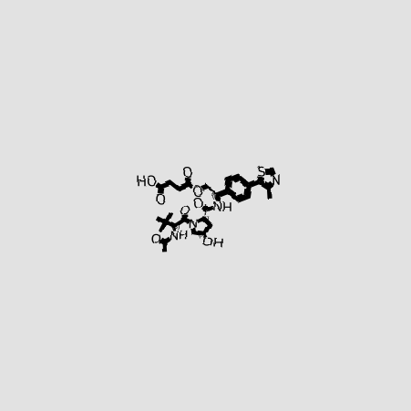 CC(=O)N[C@H](C(=O)N1C[C@H](O)C[C@H]1C(=O)N[C@@H](COC(=O)CCC(=O)O)c1ccc(-c2scnc2C)cc1)C(C)(C)C